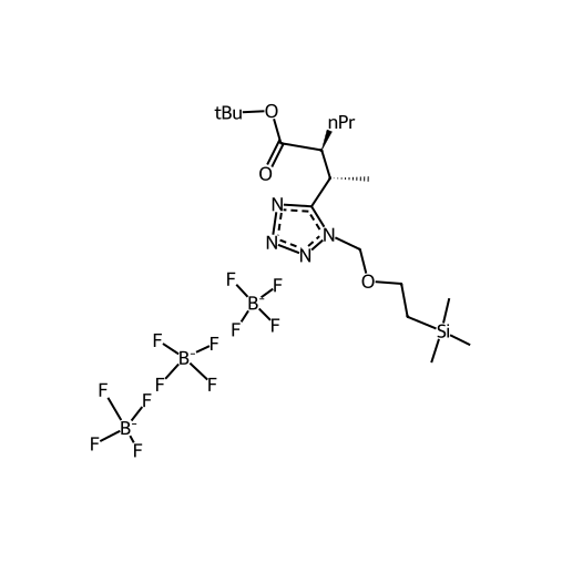 CCC[C@H](C(=O)OC(C)(C)C)[C@H](C)c1nnnn1COCC[Si](C)(C)C.F[B-](F)(F)F.F[B-](F)(F)F.F[B-](F)(F)F